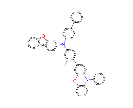 Cc1cc(N(c2ccc(-c3ccccc3)cc2)c2ccc3c(c2)oc2ccccc23)ccc1-c1ccc2c(c1)Oc1ccccc1N2c1ccccc1